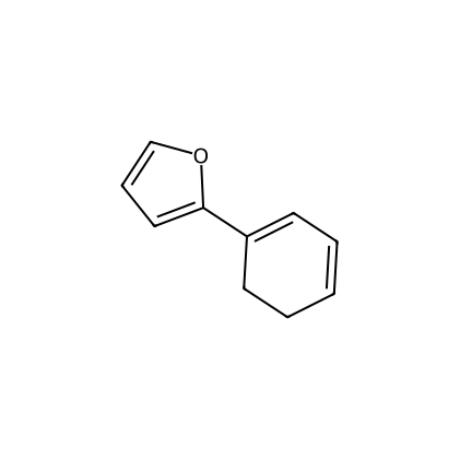 C1=CCCC(c2ccco2)=C1